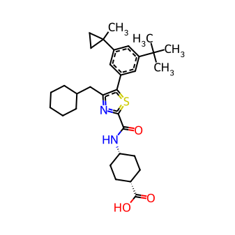 CC(C)(C)c1cc(-c2sc(C(=O)N[C@H]3CC[C@@H](C(=O)O)CC3)nc2CC2CCCCC2)cc(C2(C)CC2)c1